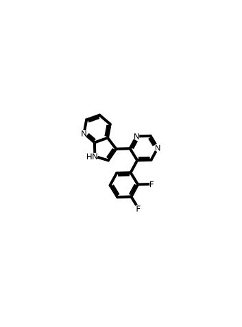 Fc1cccc(-c2cncnc2-c2c[nH]c3ncccc23)c1F